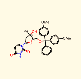 [2H][C@]1(O)C[C@H](n2ccc(=O)[nH]c2=O)O[C@@H]1COC(c1ccccc1)(c1ccc(OC)cc1)c1ccc(OC)cc1